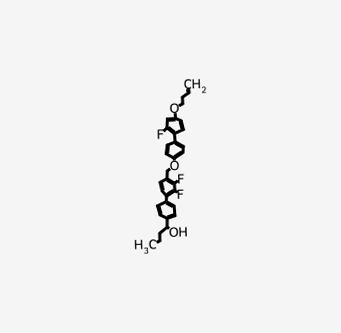 C=CCCOc1ccc(-c2ccc(OCc3ccc(-c4ccc(C(O)CCC)cc4)c(F)c3F)cc2)c(F)c1